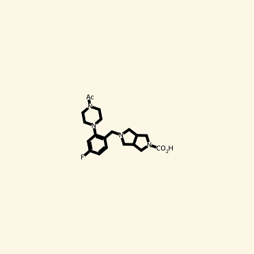 CC(=O)N1CCN(c2cc(F)ccc2CN2CC3CN(C(=O)O)CC3C2)CC1